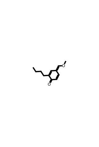 CCCCC1=CC(=COC)C=CC1=O